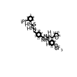 CC(C)c1ccccc1NC(=S)N/N=C/c1ccc(C(=N)/N=C(/NCC2CCCO2)Nc2ccc(OC(F)(F)F)cc2)cc1